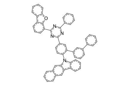 c1ccc(-c2cccc(-c3cc(-c4nc(-c5ccccc5)nc(-c5cccc6c5oc5ccccc56)n4)ccc3-n3c4ccccc4c4cc5ccccc5cc43)c2)cc1